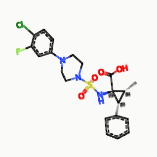 C[C@@H]1[C@H](c2ccccc2)[C@]1(NS(=O)(=O)N1CCN(c2ccc(Cl)c(F)c2)CC1)C(=O)O